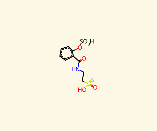 O=C(NCCS(=O)(O)=S)c1ccccc1OS(=O)(=O)O